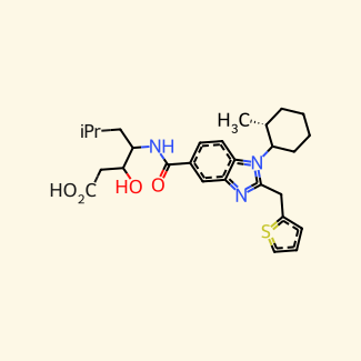 CC(C)CC(NC(=O)c1ccc2c(c1)nc(Cc1cccs1)n2C1CCCC[C@H]1C)C(O)CC(=O)O